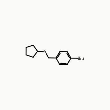 CCC(C)c1ccc(CSC2CCCC2)cc1